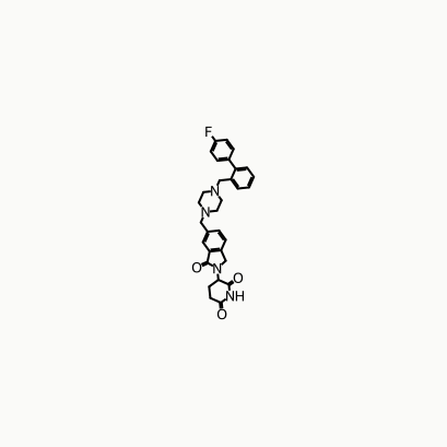 O=C1CCC(N2Cc3ccc(CN4CCN(Cc5ccccc5-c5ccc(F)cc5)CC4)cc3C2=O)C(=O)N1